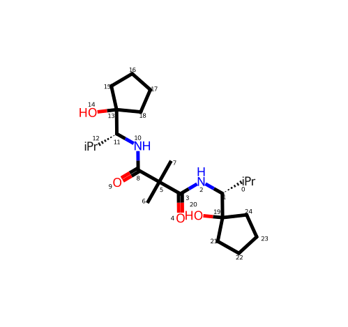 CC(C)[C@@H](NC(=O)C(C)(C)C(=O)N[C@H](C(C)C)C1(O)CCCC1)C1(O)CCCC1